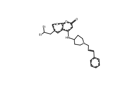 CCC(CC)Cc1ccc2oc(=O)cc(NC3CCN(C/C=C/c4ccccc4)CC3)c2c1